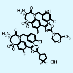 Cl.Cl.N[C@H]1CS(=O)(=O)c2cc(F)c(-c3nnc(C4CCC(F)(F)C4)o3)cc2N(Cc2ccc(Cl)cc2)C1=O.N[C@H]1CS(=O)(=O)c2cc(F)c(-c3noc(N4CCOC(C(F)(F)F)C4)n3)cc2N(Cc2ccc(Cl)cc2)C1=O